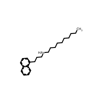 CCCCCCCCCC[AsH]CCCc1cccc2ccccc12